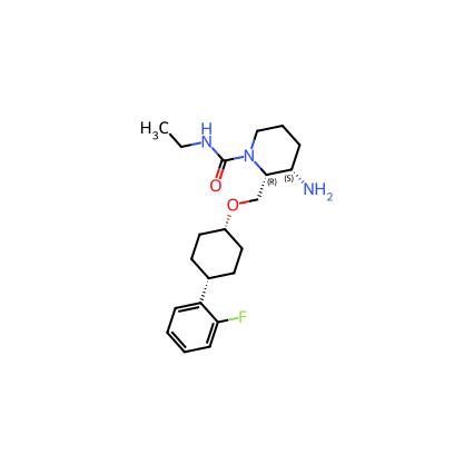 CCNC(=O)N1CCC[C@H](N)[C@@H]1CO[C@H]1CC[C@@H](c2ccccc2F)CC1